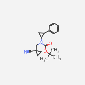 CC(C)(C)OC(=O)N(CC1(C#N)CC1)[C@H]1CC1c1ccccc1